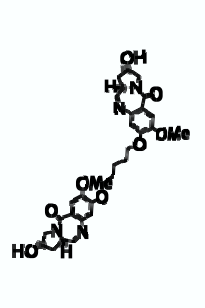 COc1cc2c(cc1OCCCCCOc1cc3c(cc1OC)C(=O)N1C[C@@H](O)C[C@H]1C=N3)N=C[C@@H]1C[C@H](O)CN1C2=O